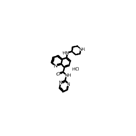 Cl.O=C(Nc1ncccn1)c1ccc(NC2CCNCC2)c2cccnc12